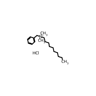 CCCCCCCCCC[N+](C)(C)Cc1ccccc1.Cl